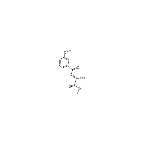 COC(=O)C(O)=CC(=O)c1cccc(OC)c1